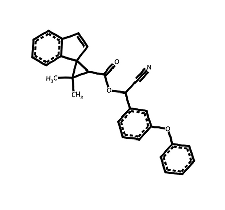 CC1(C)C(C(=O)OC(C#N)c2cccc(Oc3ccccc3)c2)C12C=Cc1ccccc12